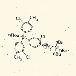 CCCCCC[B-](c1ccc(C)c(Cl)c1)(c1ccc(C)c(Cl)c1)c1ccc(C)c(Cl)c1.CCCC[N+](CCCC)(CCCC)CCCC